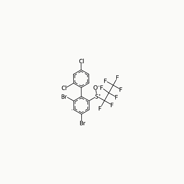 [O-][S+](c1cc(Br)[c]c(Br)c1-c1ccc(Cl)cc1Cl)C(F)(F)C(F)(F)C(F)(F)F